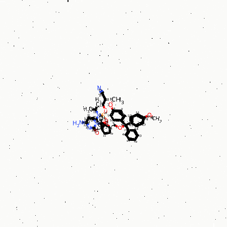 COc1ccc(C(OC[C@]23CC[C@H]([C@@H]2OP(OCCC#N)N(C(C)C)C(C)C)[C@](C)(n2ccc(N)nc2=O)O3)(c2ccccc2)c2ccc(OC)cc2)cc1